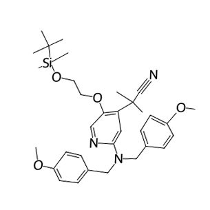 COc1ccc(CN(Cc2ccc(OC)cc2)c2cc(C(C)(C)C#N)c(OCCO[Si](C)(C)C(C)(C)C)cn2)cc1